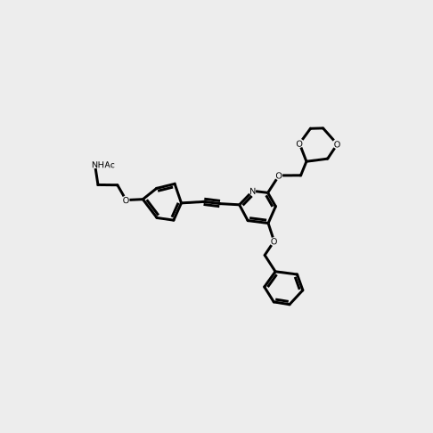 CC(=O)NCCOc1ccc(C#Cc2cc(OCc3ccccc3)cc(OCC3COCCO3)n2)cc1